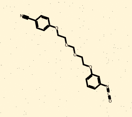 N#Cc1ccc(OCCOCOCCOc2cccc(N=C=O)c2)cc1